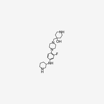 OC1(CN2CCN(c3ccc(NC4CCCNC4)cc3F)CC2)CCNCC1